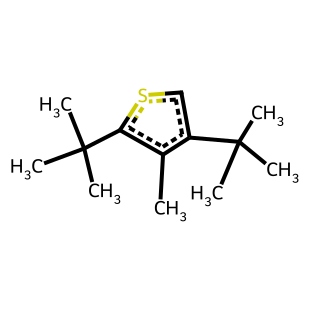 Cc1c(C(C)(C)C)csc1C(C)(C)C